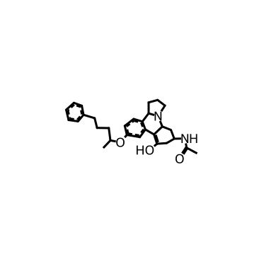 CC(=O)NC1CC(O)=C2c3cc(OC(C)CCCc4ccccc4)ccc3C3CCCN3C2C1